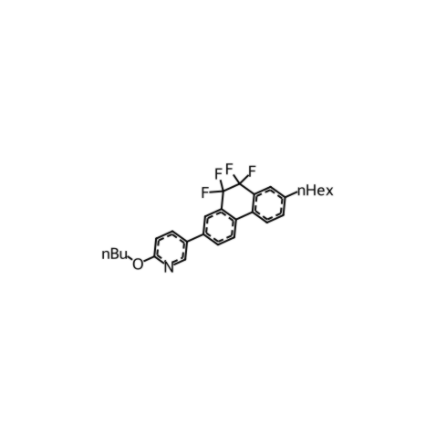 CCCCCCc1ccc2c(c1)C(F)(F)C(F)(F)c1cc(-c3ccc(OCCCC)nc3)ccc1-2